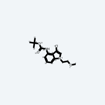 COCCn1cc(Cl)c2c(NC(=O)OC(C)(C)C)cccc21